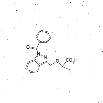 CC(C)(OCc1nn(C(=O)c2ccccc2)c2ccccc12)C(=O)O